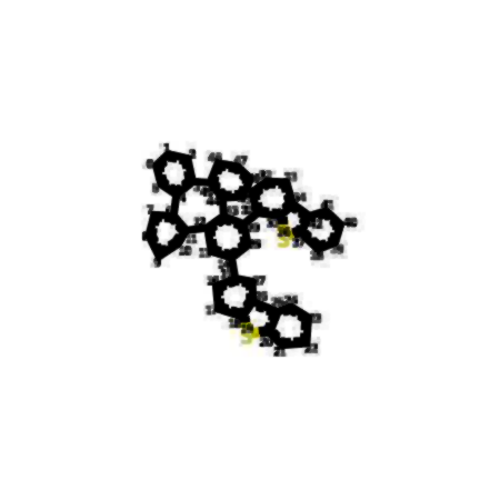 c1ccc2c(c1)-c1ccccc1-c1cc(-c3ccc4sc5ccccc5c4c3)cc(-c3cccc4c3sc3ccccc34)c1-c1ccccc1-2